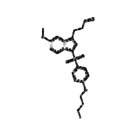 CCCCOc1ccc(S(=O)(=O)n2cc(CCC=O)c3cc(OC)ccc32)cc1